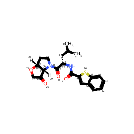 CC(C)C[C@H](NC(=O)c1cc2ccccc2s1)C(=O)N1CC[C@H]2OCC(=O)[C@H]21